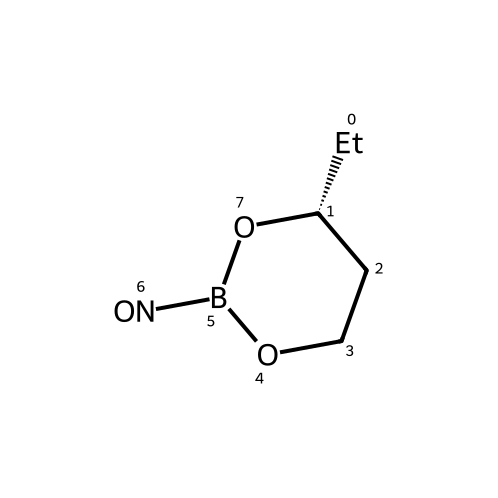 CC[C@@H]1CCOB(N=O)O1